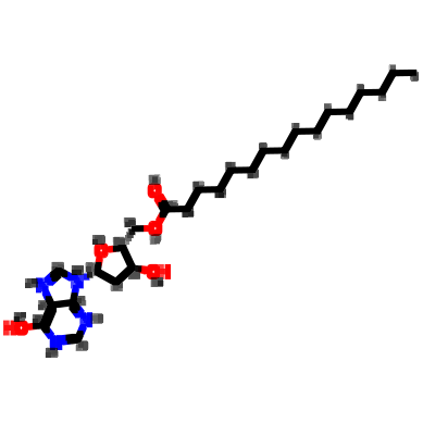 CCCCCCCCCCCCCCCC(=O)OC[C@H]1O[C@@H](n2cnc3c(O)ncnc32)C[C@@H]1O